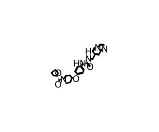 O=C(NCc1ccn2ccnc2c1)Nc1ccc(OC2CCN(C(=O)[C@@H]3CCCO3)CC2)cc1